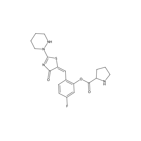 O=C1N=C(N2CCCCN2)S/C1=C/c1ccc(F)cc1OC(=O)C1CCCN1